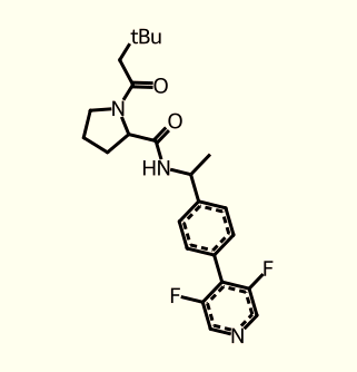 CC(NC(=O)C1CCCN1C(=O)CC(C)(C)C)c1ccc(-c2c(F)cncc2F)cc1